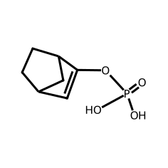 O=P(O)(O)OC1=CC2CCC1C2